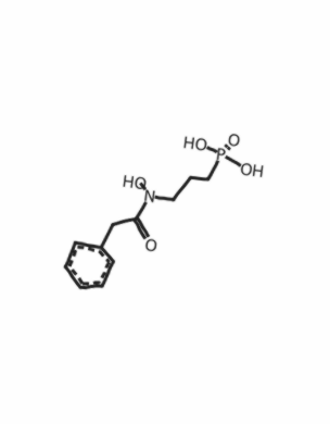 O=C(Cc1ccccc1)N(O)CCCP(=O)(O)O